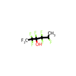 CC(F)C(F)(F)C(O)(F)C(F)(F)C(F)(F)F